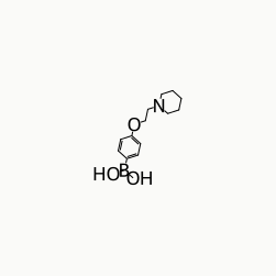 OB(O)c1ccc(OCCN2CCCCC2)cc1